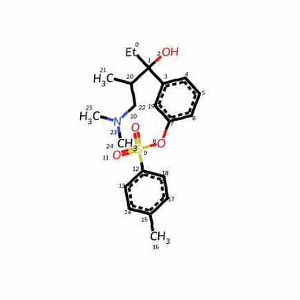 CCC(O)(c1cccc(OS(=O)(=O)c2ccc(C)cc2)c1)C(C)CN(C)C